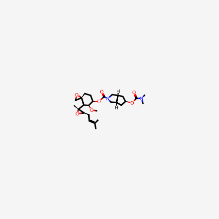 CO[C@H]1C([C@@]2(C)O[C@@H]2CC=C(C)C)[C@]2(CC[C@H]1OC(=O)N1C[C@H]3C[C@H](OC(=O)N(C)C)C[C@H]3C1)CO2